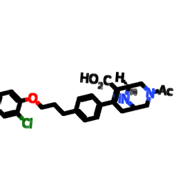 CC(=O)N1CC2CC(c3ccc(CCCOc4ccccc4Cl)cc3)=C(C(=O)O)[C@@H](C1)N2